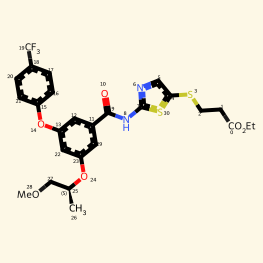 CCOC(=O)CCSc1cnc(NC(=O)c2cc(Oc3ccc(C(F)(F)F)cc3)cc(O[C@@H](C)COC)c2)s1